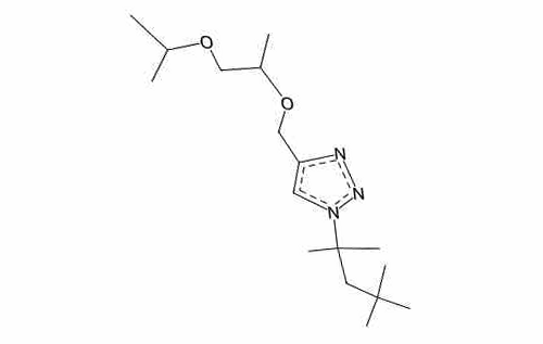 CC(C)OCC(C)OCc1cn(C(C)(C)CC(C)(C)C)nn1